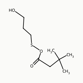 CC(C)(C)CC(=O)OSCCCO